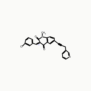 CN1C(=O)/C(=C\c2cccc(Cl)c2)C(=O)c2cc(C#CCc3cccnc3)ccc21